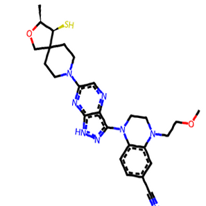 COCCN1CCN(c2n[nH]c3nc(N4CCC5(CC4)CO[C@@H](C)[C@H]5S)cnc23)c2ccc(C#N)cc21